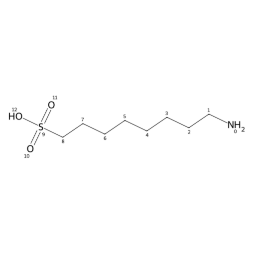 NCCCCCCCCS(=O)(=O)O